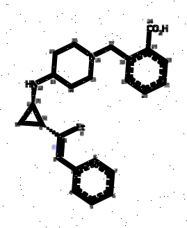 CC/C(=C\c1ccccc1)[C@@H]1C[C@H]1NC1CCN(Cc2ccccc2C(=O)O)CC1